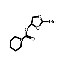 CC(C)(C)C1OCC(OC(=O)N2CCCCC2)O1